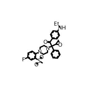 CCNc1ccc(C(=O)C(c2ccccc2)(C2CO2)N2CCN(c3ccc(F)cc3S(C)(=O)=O)CC2)cc1